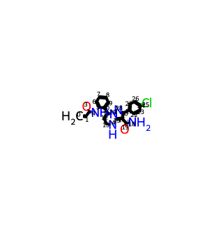 C=CC(=O)Nc1ccccc1C1CCNc2c(C(N)=O)c(-c3ccc(Cl)cc3)nn21